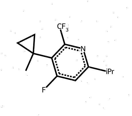 CC(C)c1cc(F)c(C2(C)CC2)c(C(F)(F)F)n1